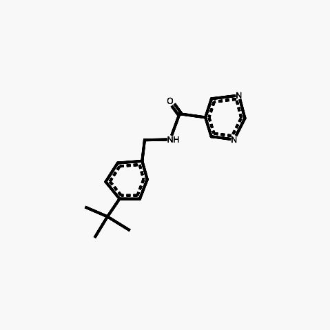 CC(C)(C)c1ccc(CNC(=O)c2cncnc2)cc1